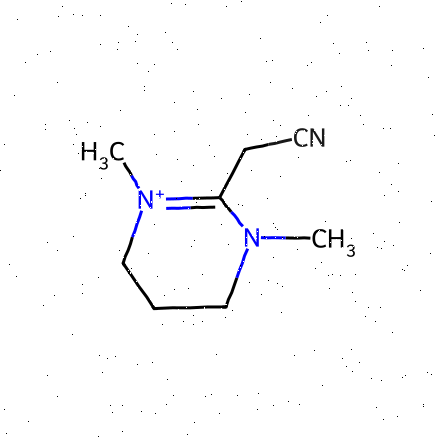 CN1CCC[N+](C)=C1CC#N